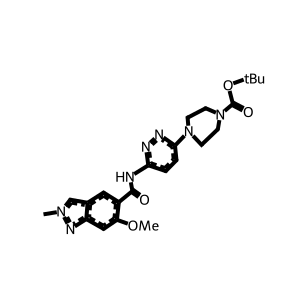 COc1cc2nn(C)cc2cc1C(=O)Nc1ccc(N2CCN(C(=O)OC(C)(C)C)CC2)nn1